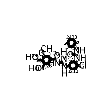 COc1cc(C(=O)NC(=N)Nc2ccc(Cl)c(NC(=O)Nc3ccccc3)c2)cc(CO)c1CO